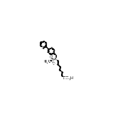 CS(=O)(=O)N(CCCCCCC(=O)O)Cc1ccc(-c2ccccn2)cc1